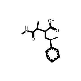 CNC(=O)C(C)C(C[C@@H](C)c1ccccc1)C(=O)O